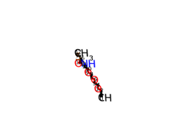 C#CCOCCOCCOCCNC(=O)CSC